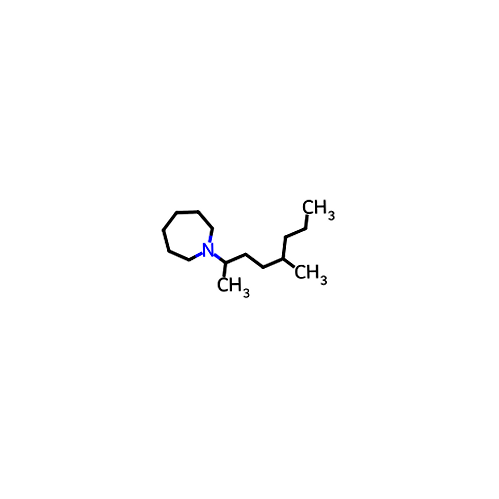 CCCC(C)CCC(C)N1CCCCCC1